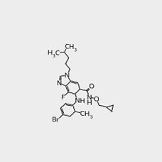 CC(C)CCCn1cnc2c1=CC(C(=O)NOCC1CC1)C(NC1=CC=C(Br)CC1C)C=2F